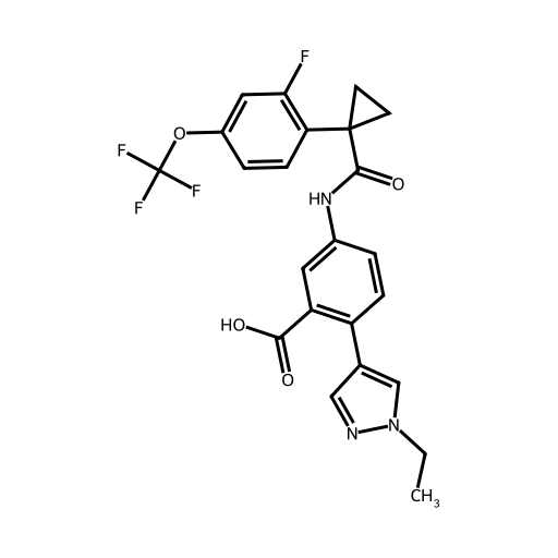 CCn1cc(-c2ccc(NC(=O)C3(c4ccc(OC(F)(F)F)cc4F)CC3)cc2C(=O)O)cn1